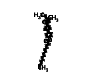 CCCCCCCCCCCCCC(=O)Oc1ccc(-c2ccc(C(=O)OC(C)CCC)cc2)cc1